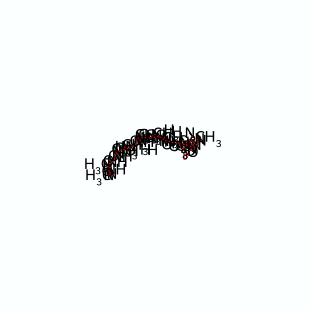 Cn1cc(CCn2c(CN(CCOCCOCCNC(=O)CCNC(=O)c3nc(NC(=O)c4cc(NC(=O)CCNC(=O)c5nc(NC(=O)CCCNC(=O)c6cc(NC(=O)c7nc(NC(=O)CCNC(=O)c8cc(NC(=O)c9nccn9C)cn8C)cn7C)cn6C)cn5C)cn4C)cn3C)C(=O)OCC3c4ccccc4-c4ccccc43)nc(-c3cnn(C)c3)c2-c2ccc(C#N)cc2)cn1